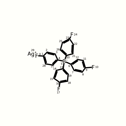 Fc1ccc([B-](c2ccc(F)cc2)(c2ccc(F)cc2)c2ccc(F)cc2)cc1.[Ag+]